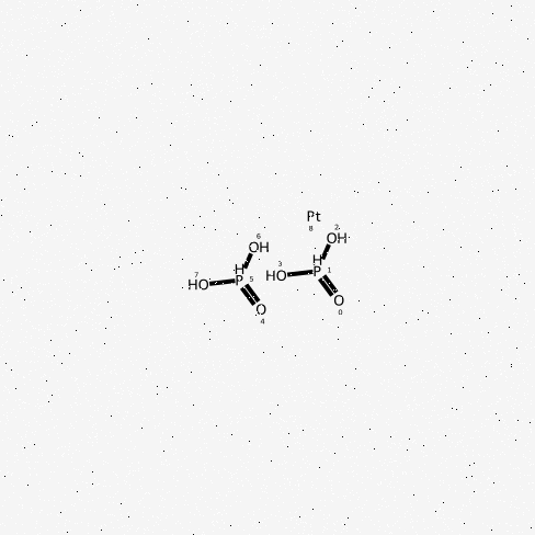 O=[PH](O)O.O=[PH](O)O.[Pt]